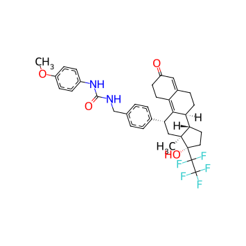 COc1ccc(NC(=O)NCc2ccc([C@H]3C[C@@]4(C)[C@@H](CC[C@@]4(O)C(F)(F)C(F)(F)F)[C@@H]4CCC5=CC(=O)CCC5=C43)cc2)cc1